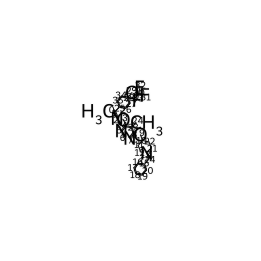 CC(=NOc1ncnc(OC2CCN(Cc3ccccc3)CC2)c1C)c1ccc(OC(F)(F)F)cc1